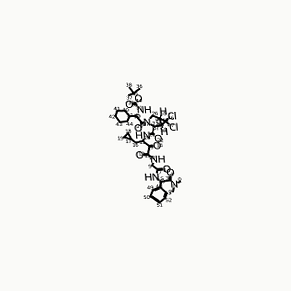 CN(C)C(=O)[C@@H](NC(=O)CNC(=O)C(=O)C(CC1CC1)NC(=O)[C@@H]1[C@@H]2[C@H](CN1C(=O)[C@@H](NC(=O)OC(C)(C)C)C1CCCCC1)C2(Cl)Cl)c1ccccc1